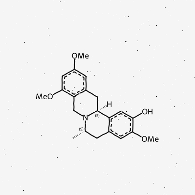 COc1cc2c(c(OC)c1)CN1[C@@H](C)Cc3cc(OC)c(O)cc3[C@@H]1C2